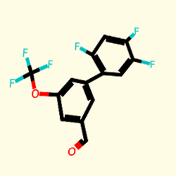 O=Cc1cc(OC(F)(F)F)cc(-c2cc(F)c(F)cc2F)c1